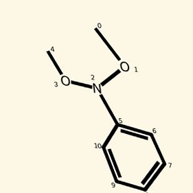 CON(OC)c1ccccc1